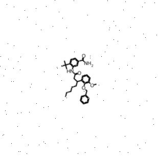 CCCCCC(CC(=O)Nc1cc(C(N)=O)ccc1C(C)(C)C)c1cccc(OC)c1OCc1ccccc1